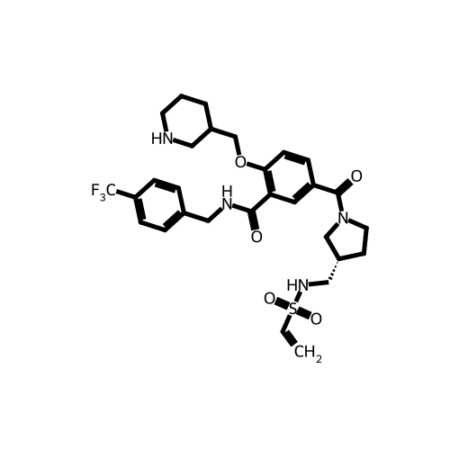 C=CS(=O)(=O)NC[C@H]1CCN(C(=O)c2ccc(OCC3CCCNC3)c(C(=O)NCc3ccc(C(F)(F)F)cc3)c2)C1